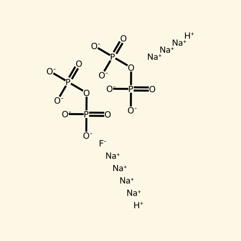 O=P([O-])([O-])OP(=O)([O-])[O-].O=P([O-])([O-])OP(=O)([O-])[O-].[F-].[H+].[H+].[Na+].[Na+].[Na+].[Na+].[Na+].[Na+].[Na+]